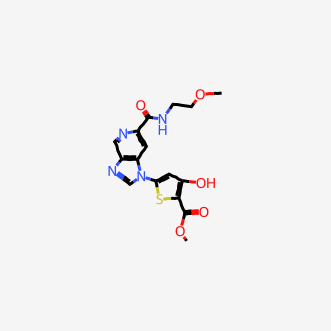 COCCNC(=O)c1cc2c(cn1)ncn2-c1cc(O)c(C(=O)OC)s1